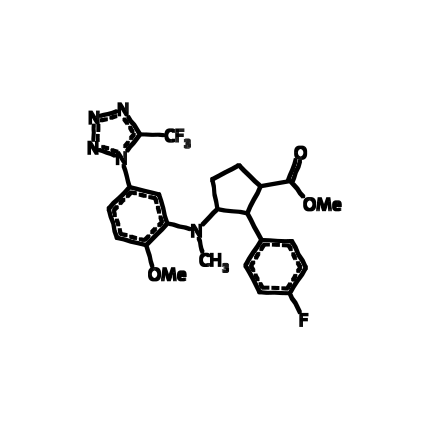 COC(=O)C1CCC(N(C)c2cc(-n3nnnc3C(F)(F)F)ccc2OC)C1c1ccc(F)cc1